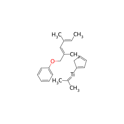 CC=C(C)C=C(C)COc1ccccc1.C[C](C)=[Ti][C]1=CC=CC1